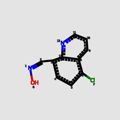 O/N=C\c1ccc(Cl)c2cccnc12